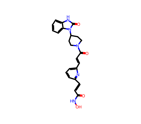 O=C(C=Cc1cccc(C=CC(=O)N2CCC(n3c(=O)[nH]c4ccccc43)CC2)n1)NO